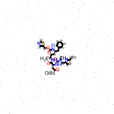 CC(C)COC(=O)C[C@H](NC(=O)N(C)Cc1csc(C(C)C)n1)C(=O)N[C@@H](C)CC[C@H](Cc1ccccc1)NC(=O)OCc1cncs1